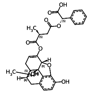 C[C@@H](CC(=O)O[C@H](C(=O)O)c1ccccc1)C(=O)OC1=CC[C@@]2(O)[C@H]3Cc4ccc(O)c5c4[C@@]2(CCN3C)[C@H]1O5